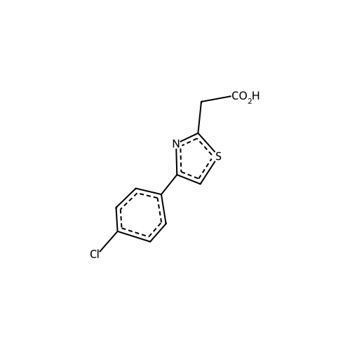 O=C(O)Cc1nc(-c2ccc(Cl)cc2)cs1